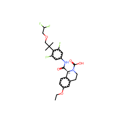 CCOc1ccc2c(c1)CCN(C(=O)O)[C@@H]2C(=O)Nc1cc(F)c(C(C)(C)COCC(F)F)c(F)c1